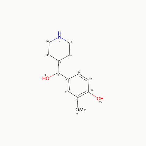 COc1cc(C(O)C2CCNCC2)ccc1O